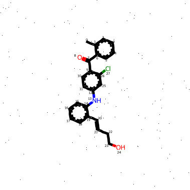 Cc1ccccc1C(=O)c1ccc(Nc2ccccc2C=CCCO)cc1Cl